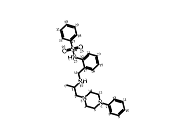 CC(CN1CCN(c2ccccc2)CC1)NCc1ccccc1NS(=O)(=O)c1ccccc1